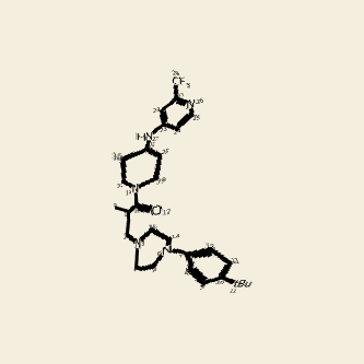 CC(CN1CCN(c2ccc(C(C)(C)C)cc2)CC1)C(=O)N1CCC(Nc2ccnc(C(F)(F)F)c2)CC1